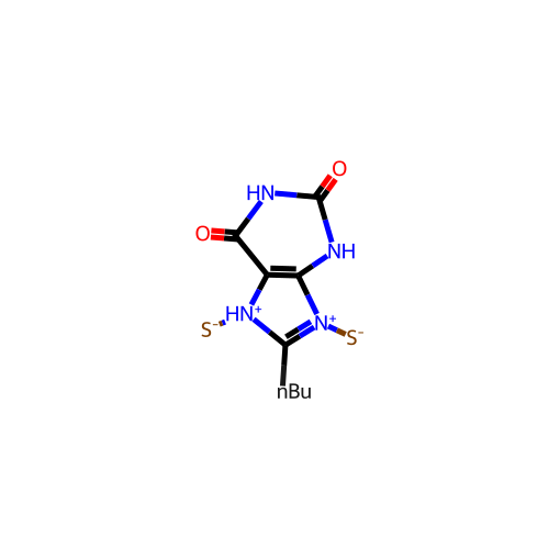 CCCCC1=[N+]([S-])c2[nH]c(=O)[nH]c(=O)c2[NH+]1[S-]